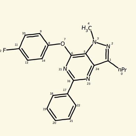 CCCc1nn(C)c2c(Oc3ccc(F)cc3)nc(-c3ccccc3)nc12